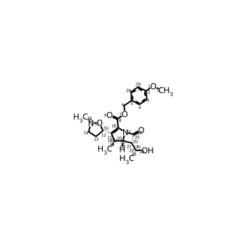 COc1ccc(COC(=O)C2=C([C@@H]3CCN(C)O3)[C@H](C)[C@H]3[C@@H]([C@@H](C)O)C(=O)N23)cc1